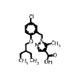 CCC(CC)COc1ccc(Cl)cc1Cn1ncc(C(=O)O)c1C